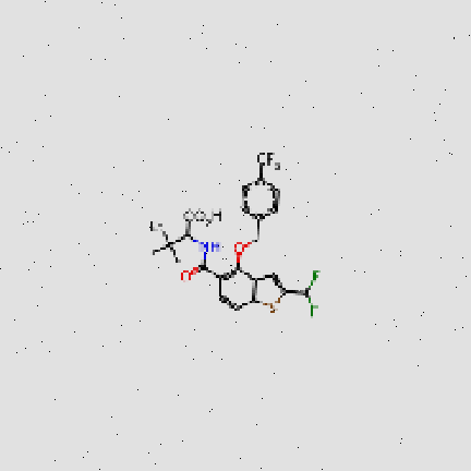 CCC(C)(C)C(NC(=O)C1=C(OCc2ccc(C(F)(F)F)cc2)C2C=C(C(F)F)SC2C=C1)C(=O)O